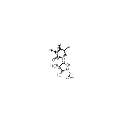 Cc1cn([C@@H]2O[C@H](CO)[C@@H](O)[C@@H]2O)c(=O)n(F)c1=O